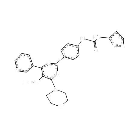 COc1c(-c2cccnc2)nc(-c2ccc(NC(=O)Nc3ccon3)cc2)nc1N1CCOCC1